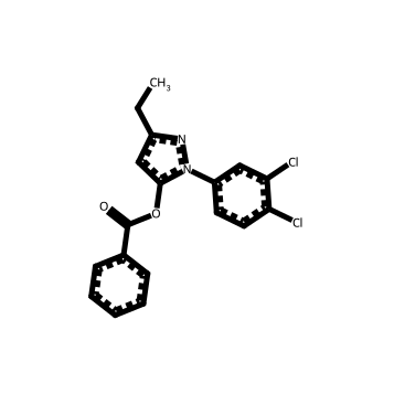 CCc1cc(OC(=O)c2ccccc2)n(-c2ccc(Cl)c(Cl)c2)n1